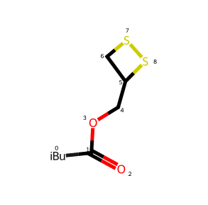 CCC(C)C(=O)OCC1CSS1